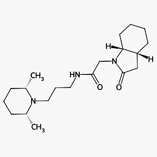 C[C@@H]1CCC[C@H](C)N1CCCNC(=O)CN1C(=O)C[C@H]2CCCC[C@H]21